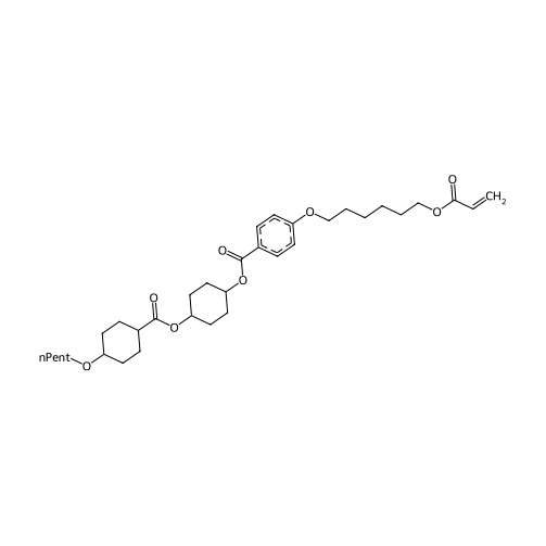 C=CC(=O)OCCCCCCOc1ccc(C(=O)OC2CCC(OC(=O)C3CCC(OCCCCC)CC3)CC2)cc1